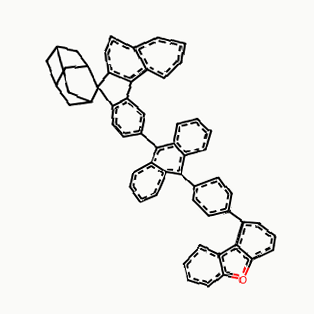 c1ccc2c3c(ccc2c1)C1(c2ccc(-c4c5ccccc5c(-c5ccc(-c6cccc7oc8ccccc8c67)cc5)c5ccccc45)cc2-3)C2CC3CC(C2)CC1C3